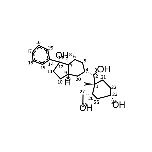 C[C@@]1(C(O)[C@H]2CC[C@@]3(C)[C@@H](CC[C@@]3(O)c3ccccc3)C2)CC[C@H](O)C[C@@H]1CO